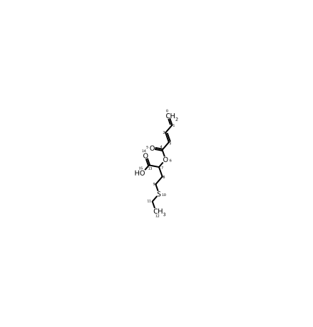 C=CC=CC(=O)OC(CCSCC)C(=O)O